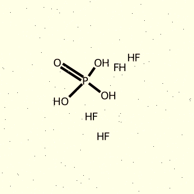 F.F.F.F.O=P(O)(O)O